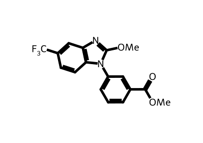 COC(=O)c1cccc(-n2c(OC)nc3cc(C(F)(F)F)ccc32)c1